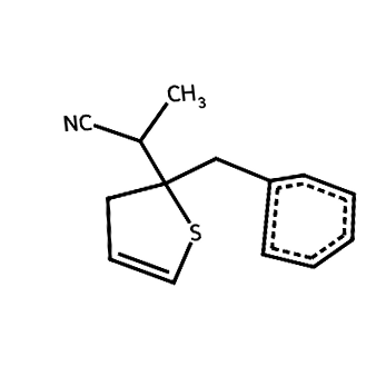 CC(C#N)C1(Cc2ccccc2)CC=CS1